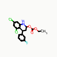 CCOC(=O)OC1CC(c2cccc(F)c2)c2c(Cl)cc(Cl)cc2N1